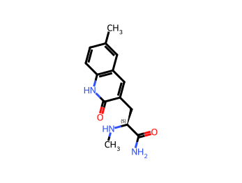 CN[C@@H](Cc1cc2cc(C)ccc2[nH]c1=O)C(N)=O